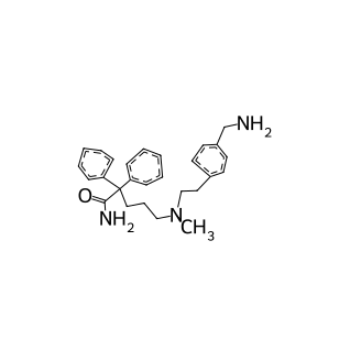 CN(CCCC(C(N)=O)(c1ccccc1)c1ccccc1)CCc1ccc(CN)cc1